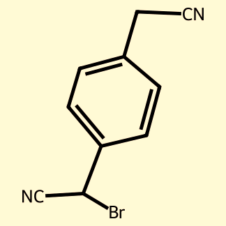 N#CCc1ccc(C(Br)C#N)cc1